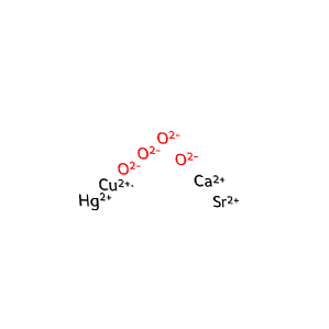 [Ca+2].[Cu+2].[Hg+2].[O-2].[O-2].[O-2].[O-2].[Sr+2]